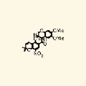 COc1cc2c(cc1OC)[C@@H]1C(=O)c3cc([N+](=O)[O-])c4c(c3O[C@@H]1CO2)C=CC(C)(C)O4